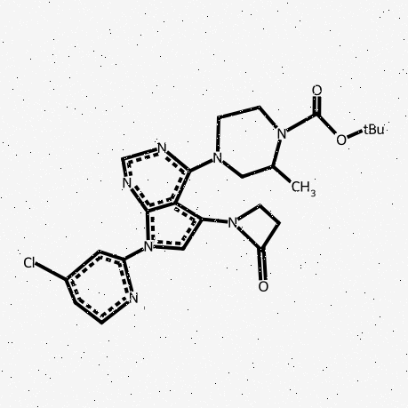 CC1CN(c2ncnc3c2c(N2CCC2=O)cn3-c2cc(Cl)ccn2)CCN1C(=O)OC(C)(C)C